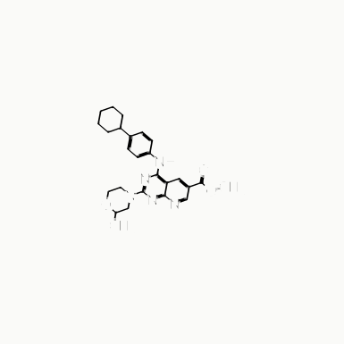 COC(=O)c1cnc2nc(N3CCOC(C)C3)nc(Nc3ccc(C4CCCCC4)cc3)c2c1